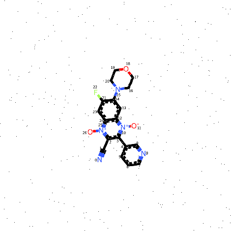 N#Cc1c(-c2cccnc2)[n+]([O-])c2cc(N3CCOCC3)c(F)cc2[n+]1[O-]